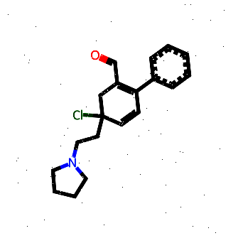 O=CC1=C(c2ccccc2)C=CC(Cl)(CCN2CCCC2)C1